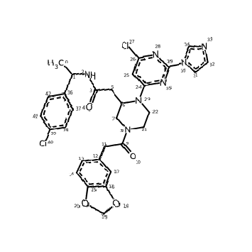 CC(NC(=O)CC1CN(C(=O)Cc2ccc3c(c2)OCO3)CCN1c1cc(Cl)nc(-n2ccnc2)n1)c1ccc(Cl)cc1